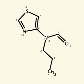 CCCN([C]=O)c1cscn1